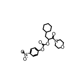 O=C(Oc1ccc([N+](=O)[O-])cc1)OC(CC1CCCCC1)C(=O)N1CCOCC1